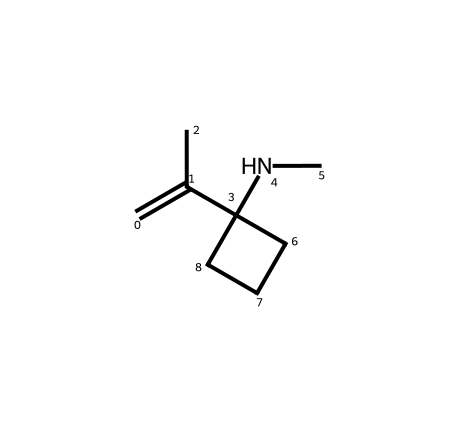 C=C(C)C1(NC)CCC1